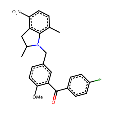 COc1ccc(CN2c3c(C)ccc([N+](=O)[O-])c3CC2C)cc1C(=O)c1ccc(F)cc1